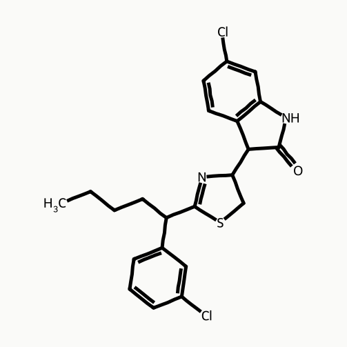 CCCCC(C1=NC(C2C(=O)Nc3cc(Cl)ccc32)CS1)c1cccc(Cl)c1